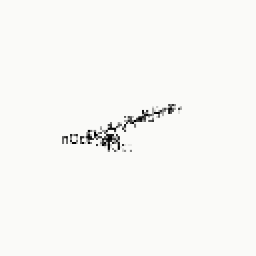 CCCCCCCCOC(=O)CC(CCCCCCCCCCCCCC(C)C)C(=O)OCCCCCCCC